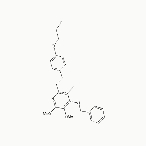 COc1nc(CCc2ccc(OCCF)cc2)c(C)c(OCc2ccccc2)c1OC